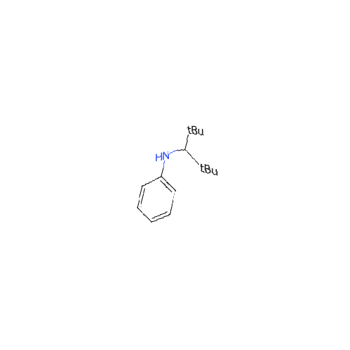 CC(C)(C)C(Nc1ccccc1)C(C)(C)C